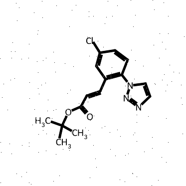 CC(C)(C)OC(=O)C=Cc1cc(Cl)ccc1-n1ccnn1